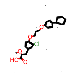 COC(Cc1ccc(OCCCOc2ccc(-c3ccccc3)cc2)c(Cl)c1)C(=O)O